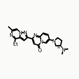 CCc1nc(C)cn2nc(-c3cc(=O)n4cc(N5CC[C@@H](N(C)C)C5)ccc4n3)cc12